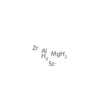 [AlH3].[MgH2].[Sc].[Zr]